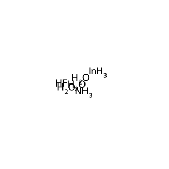 F.N.O.O.O.[InH3]